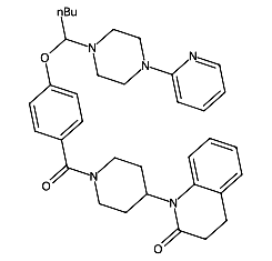 CCCCC(Oc1ccc(C(=O)N2CCC(N3C(=O)CCc4ccccc43)CC2)cc1)N1CCN(c2ccccn2)CC1